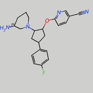 N#Cc1ccc(OC2CC(c3ccc(F)cc3)CC2N2CCC[C@H](N)C2)nc1